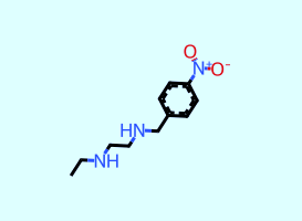 CCNCCNCc1ccc([N+](=O)[O-])cc1